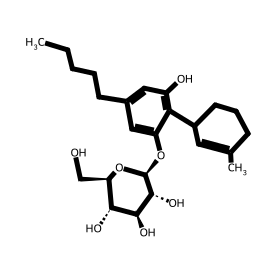 CCCCCc1cc(O)c(C2C=C(C)CCC2)c(O[C@@H]2O[C@H](CO)[C@@H](O)[C@H](O)[C@H]2O)c1